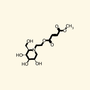 COC(=O)/C=C/C(=O)OCCN1C[C@H](O)[C@@H](O)[C@H](O)[C@H]1CO